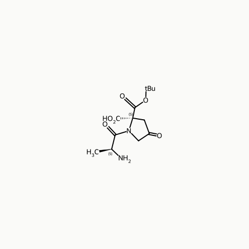 C[C@H](N)C(=O)N1CC(=O)C[C@]1(C(=O)O)C(=O)OC(C)(C)C